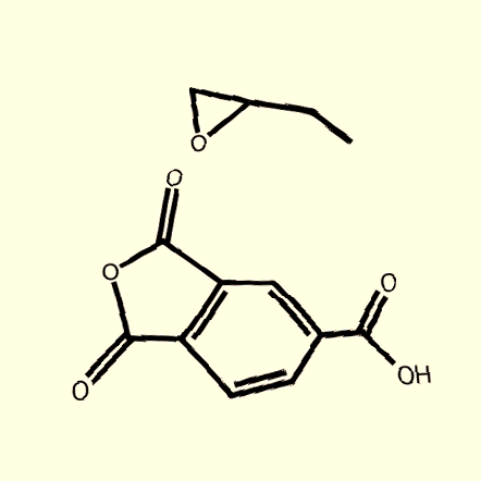 CCC1CO1.O=C(O)c1ccc2c(c1)C(=O)OC2=O